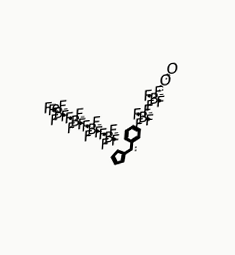 F[B-](F)(F)F.F[B-](F)(F)F.F[B-](F)(F)F.F[B-](F)(F)F.F[B-](F)(F)F.F[B-](F)(F)F.[C](C1=CC=CC1)c1ccccc1.[C]=O.[C]=O.[Fe]